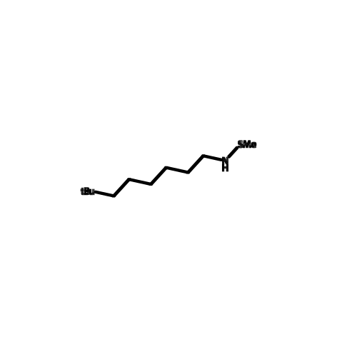 CSNCCCCCCC(C)(C)C